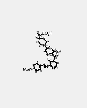 COc1ccc(CNc2nccc(-c3n[nH]c4nc(N5CCC(C)(N(C)C(=O)O)CC5)cnc34)c2C)cc1